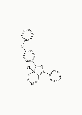 Cl[N+]12C=CN=CC1=C(c1ccccc1)N=C2c1ccc(Oc2ccccc2)cc1